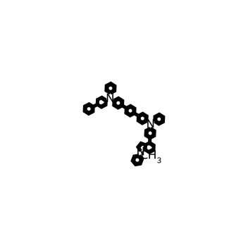 CC12C=CC=C(c3ccc(N(c4ccccc4)c4ccc(-c5ccc(-c6ccc(N(C7=CCC(c8ccccc8)C=C7)c7ccccc7)cc6)cc5)cc4)cc3)C1C=CN2c1ccccc1